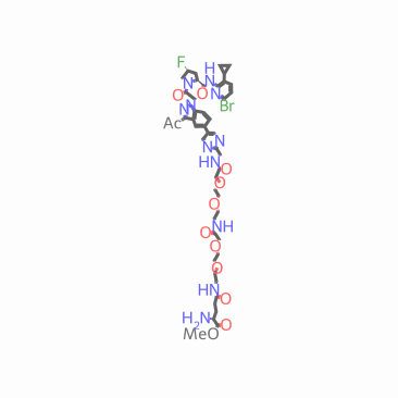 COC(=O)[C@@H](N)CCC(=O)NCCOCCOCC(=O)NCCOCCOCC(=O)NCc1ncc(-c2ccc3c(c2)c(C(C)=O)nn3CC(=O)N2C[C@H](F)C[C@H]2C(=O)Nc2nc(Br)ccc2C2CC2)cn1